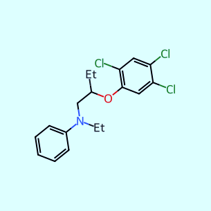 CCC(CN(CC)c1ccccc1)Oc1cc(Cl)c(Cl)cc1Cl